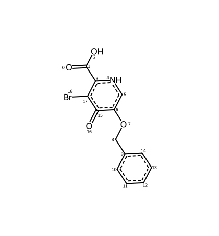 O=C(O)c1[nH]cc(OCc2ccccc2)c(=O)c1Br